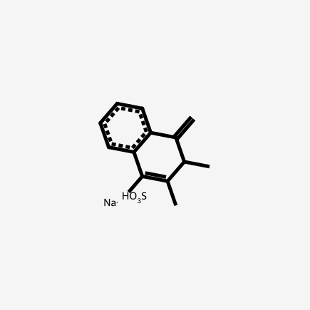 C=C1c2ccccc2C(S(=O)(=O)O)=C(C)C1C.[Na]